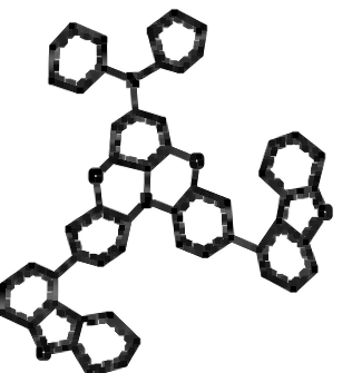 c1ccc(N(c2ccccc2)c2cc3c4c(c2)Oc2cc(-c5cccc6oc7ccccc7c56)ccc2B4c2ccc(-c4cccc5oc6ccccc6c45)cc2O3)cc1